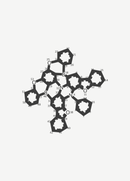 c1ccc(N2c3c4c(cc5c3oc3ccccc35)B3c5ccccc5Oc5cc6c7c(c53)N4c3c(cc4c(oc5ccccc54)c32)B7c2ccccc2O6)cc1